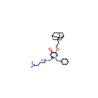 CN(C)CCCNCc1cc(=O)c(OCCC23CC4CC(CC(C4)C2)C3)cn1Cc1ccccc1